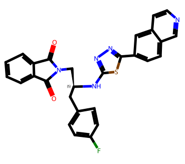 O=C1c2ccccc2C(=O)N1C[C@H](Cc1ccc(F)cc1)Nc1nnc(-c2ccc3cnccc3c2)s1